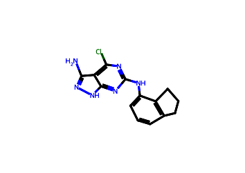 Nc1n[nH]c2nc(Nc3cccc4c3CCC4)nc(Cl)c12